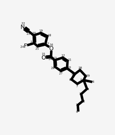 CCCCCC1(C)CCC(c2ccc(C(=O)Oc3ccc(C#N)c(F)c3)cc2)CC1